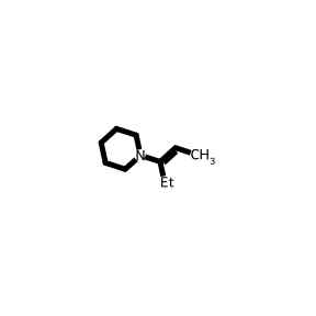 CC=C(CC)N1CCCCC1